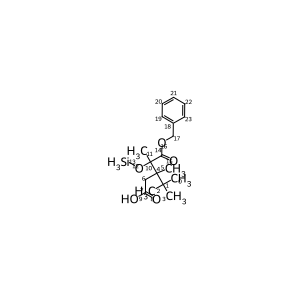 CC(C)(C)C(C)(CC(=O)O)C(C)(O[SiH3])C(=O)OCc1ccccc1